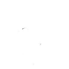 Cc1nsc(I)c1NC(=O)O[C@@H](C)c1ccccc1